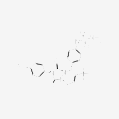 CC(=O)c1ccc(-n2c(=O)n3n(c2=O)C2C(=CC3)C(C)(C)Oc3cc(NS(N)(=O)=O)ccc32)cc1